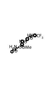 COc1cc2c(Oc3ccc(CC(=O)Nc4ccc(C(F)(F)F)cc4)cc3)ccnc2cc1OCC[C@H](N)C(=O)OC1CCCC1